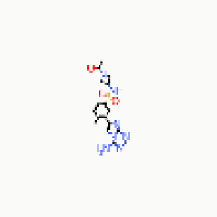 CC(=O)N1CC(NS(=O)(=O)c2ccc(C)c(-c3cn4c(N)ncnc4n3)c2)C1